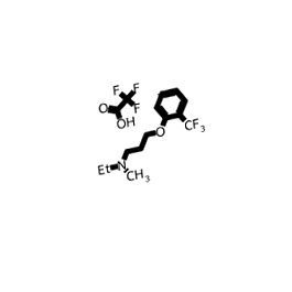 CCN(C)CCCOc1c[c]ccc1C(F)(F)F.O=C(O)C(F)(F)F